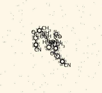 Cc1ccc(C(=O)N2CCC(c3ccc(C#N)cc3)CC2)cc1NC(=O)NCCNC(=O)C1(N(C(=O)NCCN2CCCC2=O)c2cc(C(=O)N3CCC(c4ccc(C#N)cc4)CC3)ccc2C)CCCCC1